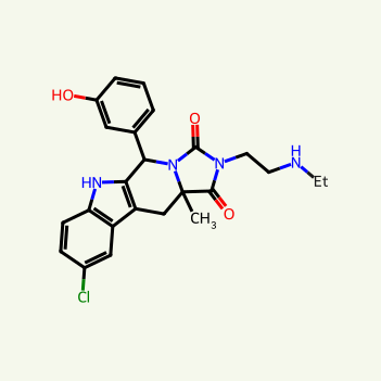 CCNCCN1C(=O)N2C(c3cccc(O)c3)c3[nH]c4ccc(Cl)cc4c3CC2(C)C1=O